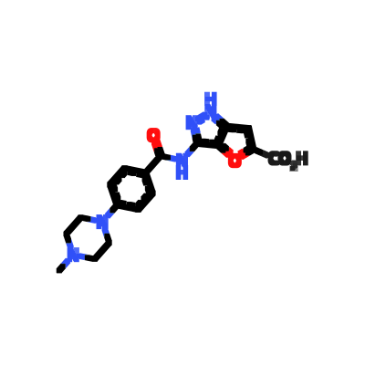 CN1CCN(c2ccc(C(=O)Nc3n[nH]c4cc(C(=O)O)oc34)cc2)CC1